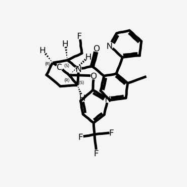 Cc1cccc(C(=O)N2[C@H](CF)[C@@H]3CC[C@H]2[C@H](Oc2ccc(C(F)(F)F)cn2)C3)c1-c1ccccn1